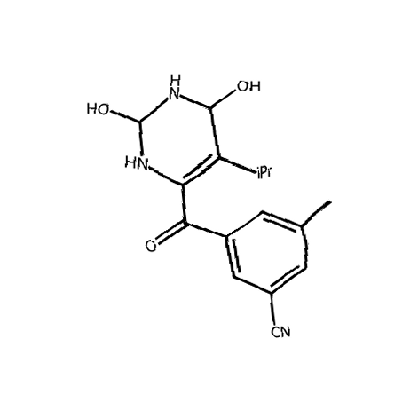 Cc1cc(C#N)cc(C(=O)C2=C(C(C)C)C(O)NC(O)N2)c1